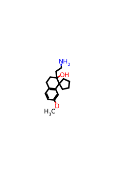 COc1ccc2c(c1)C1(CCCC1)C(O)(CCN)CC2